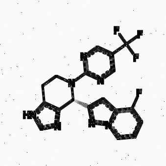 Fc1cccn2nc([C@@H]3c4nc[nH]c4CCN3c3ncc(C(F)(F)F)cn3)cc12